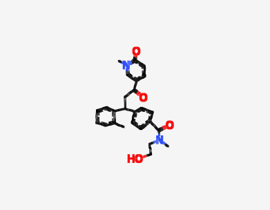 Cc1ccccc1C(CC(=O)c1ccc(=O)n(C)c1)c1ccc(C(=O)N(C)CCO)cc1